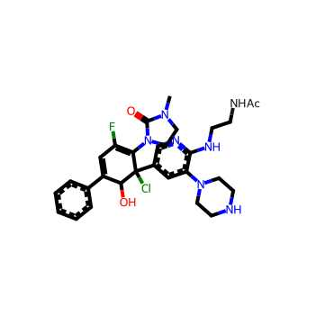 CC(=O)NCCNc1ncc(C2(Cl)C(N3CCN(C)C3=O)=C(F)C=C(c3ccccc3)C2O)cc1N1CCNCC1